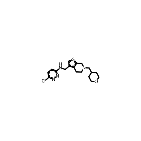 Clc1ccc(NCc2csc3c2CCN(CC2CCOCC2)C3)nn1